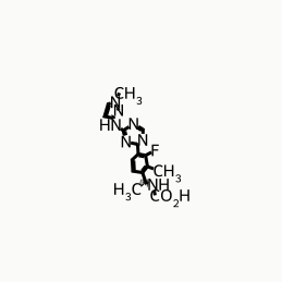 Cc1c([C@@H](C)NC(=O)O)ccc(-c2ncnc(Nc3ccn(C)n3)n2)c1F